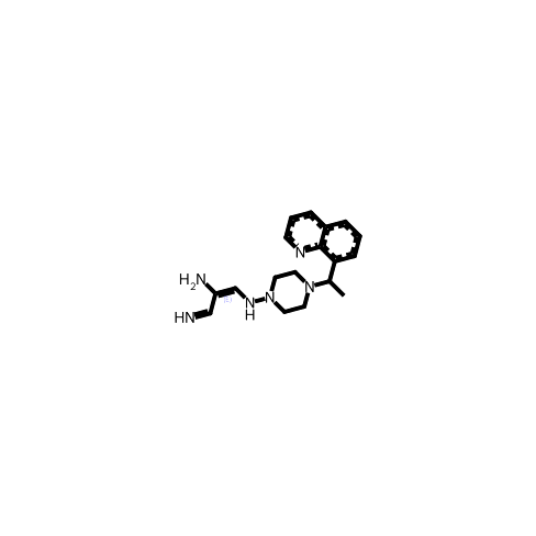 CC(c1cccc2cccnc12)N1CCN(N/C=C(/N)C=N)CC1